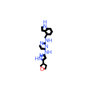 c1cc(CNc2nccc(Nc3cc(C4CCOC4)[nH]n3)n2)c2cc[nH]c2c1